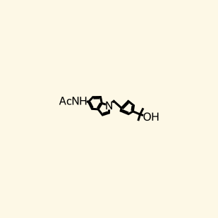 CC(=O)Nc1ccc2c(ccn2Cc2ccc(C(C)(C)O)cc2)c1